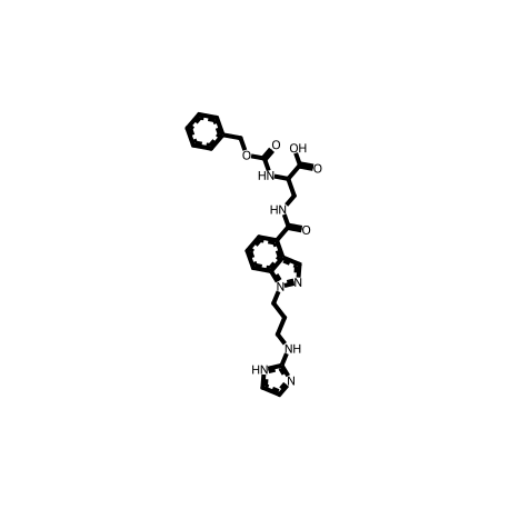 O=C(NC(CNC(=O)c1cccc2c1cnn2CCCNc1ncc[nH]1)C(=O)O)OCc1ccccc1